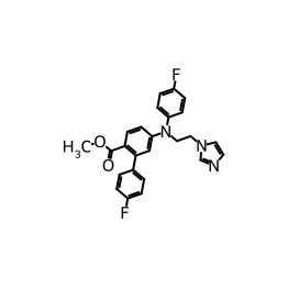 COC(=O)c1ccc(N(CCn2ccnc2)c2ccc(F)cc2)cc1-c1ccc(F)cc1